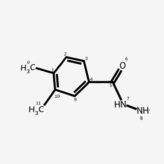 Cc1ccc(C(=O)N[NH])cc1C